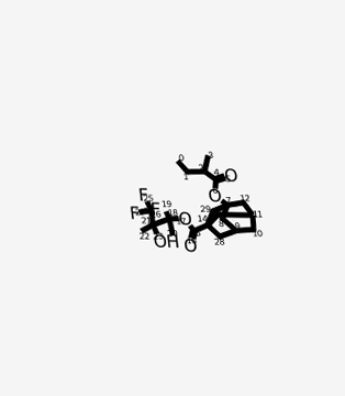 CCC(C)C(=O)OC12CC3CC(C1)CC(C(=O)OC(C)(C)C(C)(O)C(F)(F)F)(C3)C2